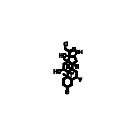 C[C@]12C=CC(=O)C=C1[C@@H](F)C[C@H]1[C@@H]3C[C@@H](O)[C@](O)(C(=O)CCl)[C@@]3(C)C[C@H](O)[C@@]12F